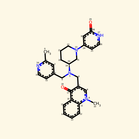 Cc1cc(CN(Cc2cn(C)c3ccccc3c2=O)[C@H]2CCCN(c3cc[nH]c(=O)c3)C2)ccn1